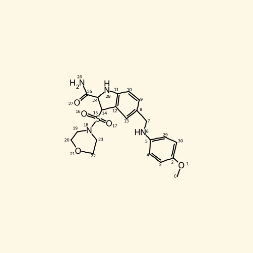 COc1ccc(NCc2ccc3c(c2)C(S(=O)(=O)N2CCOCC2)C(C(N)=O)N3)cc1